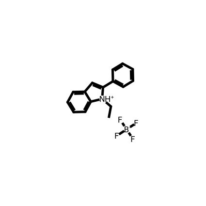 CC[NH+]1C(c2ccccc2)=Cc2ccccc21.F[B-](F)(F)F